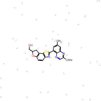 COc1cnc2c(-c3nc4ccc5c(c4s3)CC(CO)O5)cc(C)cc2n1